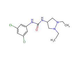 CCN1CC(NC(=O)Nc2cc(Cl)cc(Cl)c2)CN1CC